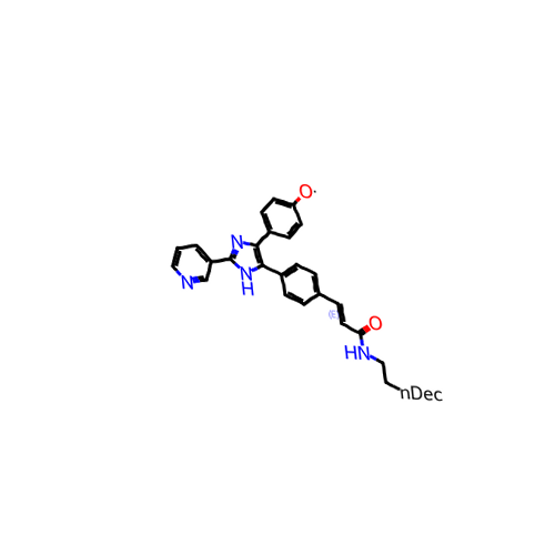 CCCCCCCCCCCCNC(=O)/C=C/c1ccc(-c2[nH]c(-c3cccnc3)nc2-c2ccc([O])cc2)cc1